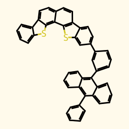 c1ccc(-c2c3ccccc3c(-c3cccc(-c4ccc5c(c4)sc4c5ccc5ccc6c7ccccc7sc6c54)c3)c3ccccc23)cc1